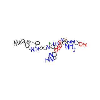 COc1ccc(CN2CCN(C3CC4(CCN(c5cc(Oc6cnc7[nH]ccc7c6)c(C(=O)NS(=O)(=O)c6cc(N)c(NC[C@H]7CC[C@](C)(O)CC7)c7scnc67)cc5F)CC4)C3)[C@H](c3ccccc3C(C)C)C2)cc1